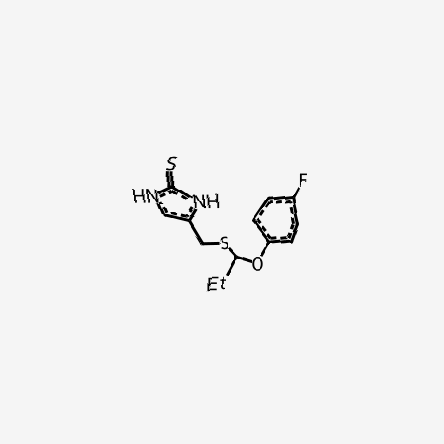 CCC(Oc1ccc(F)cc1)SCc1c[nH]c(=S)[nH]1